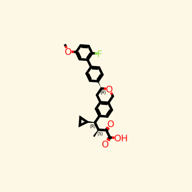 COc1ccc(F)c(-c2ccc([C@H]3Cc4cc([C@H](C5CC5)[C@H](C)C(=O)C(=O)O)ccc4CO3)cc2)c1